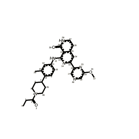 CCC(=O)N1CCC(c2ccc(Nc3nc(-c4cncc(OC)n4)cc4cc[nH]c(=O)c34)cc2C)CC1